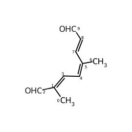 CC(C=O)=CC=C(C)C=CC=O